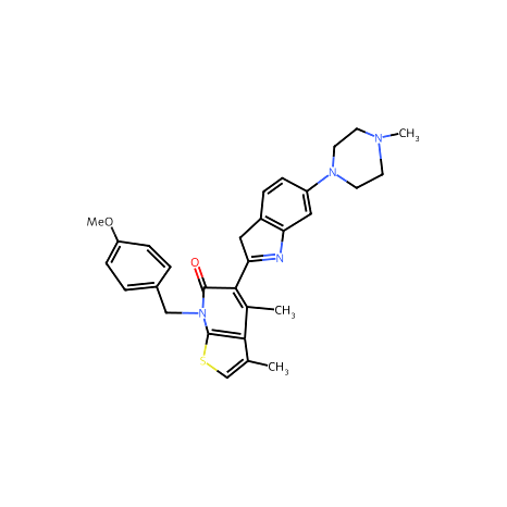 COc1ccc(Cn2c(=O)c(C3=Nc4cc(N5CCN(C)CC5)ccc4C3)c(C)c3c(C)csc32)cc1